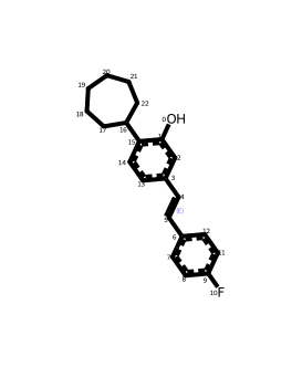 Oc1cc(/C=C/c2ccc(F)cc2)ccc1C1CCCCCC1